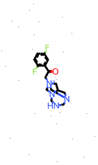 O=C(C[N+]12CC3CN(CNCN3C1)C2)c1cc(F)ccc1F